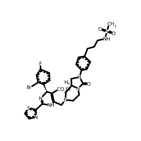 CCOC(=O)C1=C(CN2CCN3C(=O)N(c4ccc(CCCNS(C)(=O)=O)cc4)C[C@@H]3C2)NC(c2nccs2)=N[C@H]1c1ccc(F)cc1Br